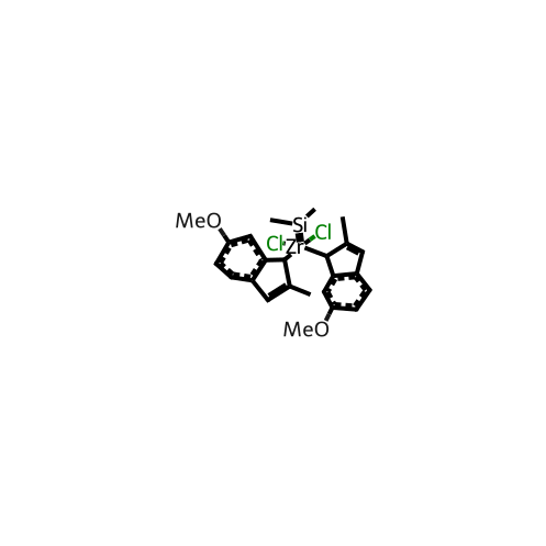 COc1ccc2c(c1)[CH]([Zr]([Cl])([Cl])([CH]1C(C)=Cc3ccc(OC)cc31)=[Si](C)C)C(C)=C2